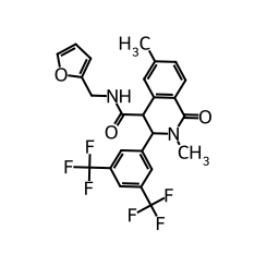 Cc1ccc2c(c1)C(C(=O)NCc1ccco1)C(c1cc(C(F)(F)F)cc(C(F)(F)F)c1)N(C)C2=O